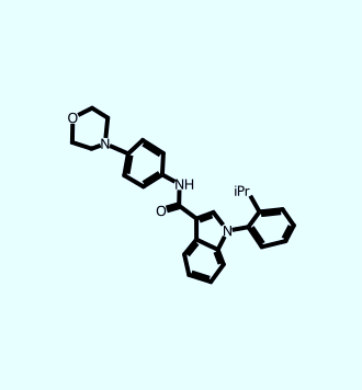 CC(C)c1ccccc1-n1cc(C(=O)Nc2ccc(N3CCOCC3)cc2)c2ccccc21